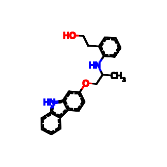 CC(COc1ccc2c(c1)[nH]c1ccccc12)Nc1ccccc1CCO